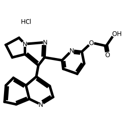 Cl.O=C(O)Oc1cccc(-c2nn3c(c2-c2ccnc4ccccc24)CCC3)n1